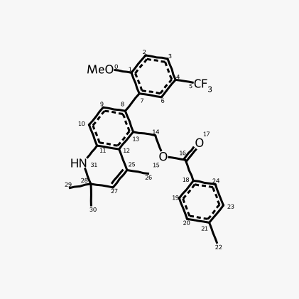 COc1ccc(C(F)(F)F)cc1-c1ccc2c(c1COC(=O)c1ccc(C)cc1)C(C)=CC(C)(C)N2